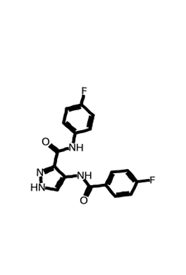 O=C(Nc1c[nH]nc1C(=O)Nc1ccc(F)cc1)c1ccc(F)cc1